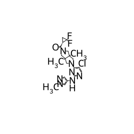 Cn1cc(Nc2ncc(Cl)c(N3C[C@]4(C)CN(C(=O)[C@H]5CC5(F)F)C[C@]4(C)C3)n2)cn1